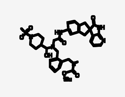 CN(Cc1ccccc1CN(CC(=O)Nc1ccc2c(c1)CC1(C2)C(=O)Nc2ncccc21)C(O)C1CCN(S(C)(=O)=O)CC1)C(=O)OC(C)(C)C